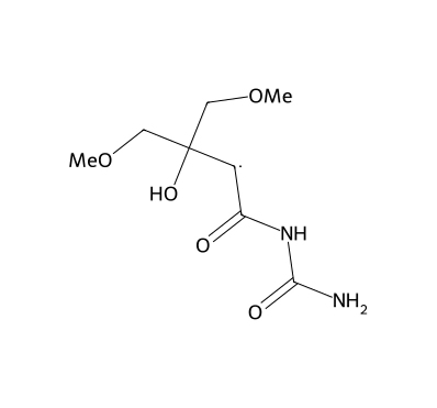 COCC(O)([CH]C(=O)NC(N)=O)COC